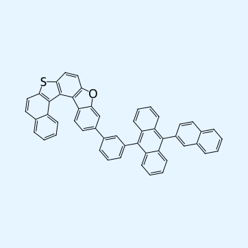 c1cc(-c2ccc3c(c2)oc2ccc4sc5ccc6ccccc6c5c4c23)cc(-c2c3ccccc3c(-c3ccc4ccccc4c3)c3ccccc23)c1